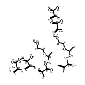 C=C(C)C(=O)OOC(C)OCCOC.C=C(C)C(=O)OOC(C)OCCOC.C=C(C)C(=O)[O-].C=C(C)C(=O)[O-].C=C(C)C(=O)[O-].C=C(C)C(=O)[O-].[Ti+4]